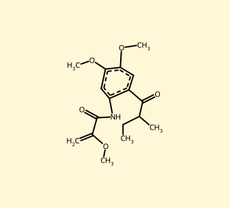 C=C(OC)C(=O)Nc1cc(OC)c(OC)cc1C(=O)C(C)CC